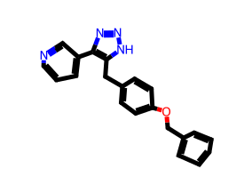 c1ccc(COc2ccc(Cc3[nH]nnc3-c3cccnc3)cc2)cc1